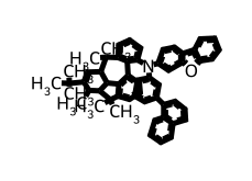 CC1C(C(C)(C)C)=CC2C3c4c(cccc4C(C)(C)C13)-c1c(N(c3cccc(-c4cccc5ccccc45)c3)c3ccc4c(c3)oc3ccccc34)cccc1C2(C)C